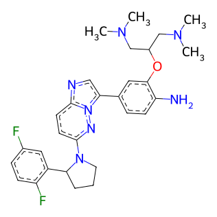 CN(C)CC(CN(C)C)Oc1cc(-c2cnc3ccc(N4CCCC4c4cc(F)ccc4F)nn23)ccc1N